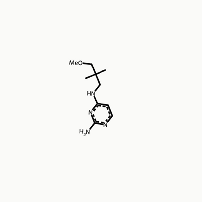 COCC(C)(C)CNc1ccnc(N)n1